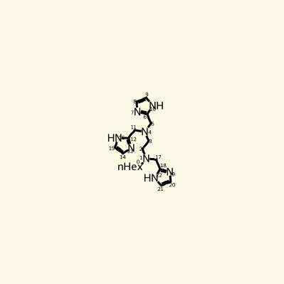 CCCCCCN(CCN(Cc1ncc[nH]1)Cc1ncc[nH]1)Cc1ncc[nH]1